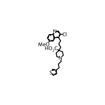 COc1ccc2ncc(Cl)c(CCCC3(C(=O)O)CCN(CCCc4ccsc4)CC3)c2c1